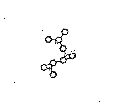 c1ccc(-c2cc(-c3ccccc3)nc(-c3ccc(-n4c5cc(-c6ccc7c8ccccc8n(-c8ccccc8)c7c6)ccc5c5cccnc54)cc3)c2)cc1